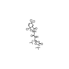 CC(C)C[C@H](NC(=O)CNC(=O)C1=CC(Cl)(Cl)C=CC1(Cl)Cl)B1OC(=O)[C@H](C(C)(C)C)O1